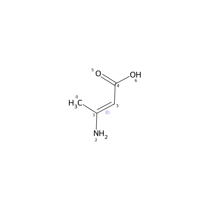 C/C(N)=C\C(=O)O